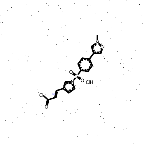 Cl.Cn1cc(-c2ccc(S(=O)(=O)n3ccc(/C=C/C(=O)Cl)c3)cc2)cn1